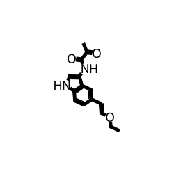 CCO/C=C/c1ccc2[nH]cc(NC(=O)C(C)=O)c2c1